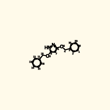 c1ccc(COc2cc(OCc3ccccc3)[nH]n2)cc1